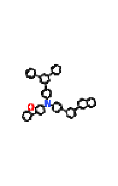 C1=CC(c2ccc(N(c3ccc(-c4cc(-c5ccccc5)cc(-c5ccccc5)c4)cc3)c3ccc4c(c3)oc3ccccc34)cc2)CC(c2ccc3ccccc3c2)=C1